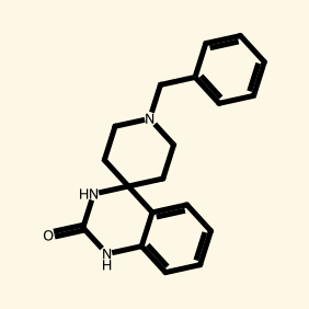 O=C1Nc2ccccc2C2(CCN(Cc3ccccc3)CC2)N1